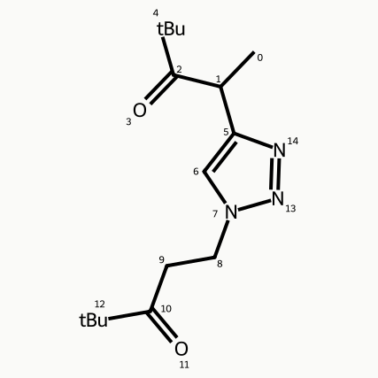 CC(C(=O)C(C)(C)C)c1cn(CCC(=O)C(C)(C)C)nn1